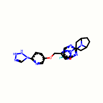 Fc1cnc(N2C3CCC2CC(n2ncc(COc4ccc(N5C=NNN5)nc4)n2)C3)nc1